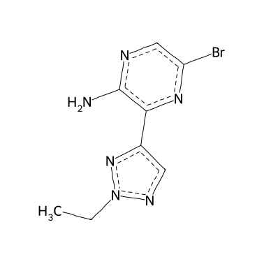 CCn1ncc(-c2nc(Br)cnc2N)n1